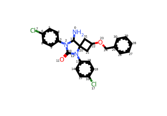 NC1N(c2ccc(Cl)cc2)C(=O)N(c2ccc(Cl)cc2)C12CC(OCc1ccccc1)C2